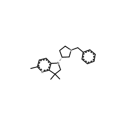 Cc1ccc2c(n1)C(C)(C)CN2[C@@H]1CCN(Cc2ccccc2)C1